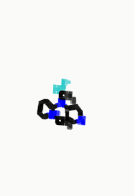 CN(c1ccncc1)c1cccc[n+]1C.F.[F-]